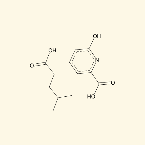 CC(C)CCC(=O)O.O=C(O)c1cccc(O)n1